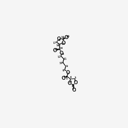 O=C1OCC(C(=O)OCCCCCOC(=O)C2COC(=O)O2)O1